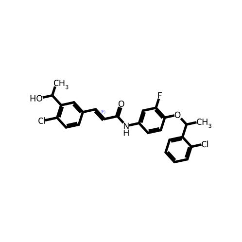 CC(O)c1cc(/C=C/C(=O)Nc2ccc(OC(C)c3ccccc3Cl)c(F)c2)ccc1Cl